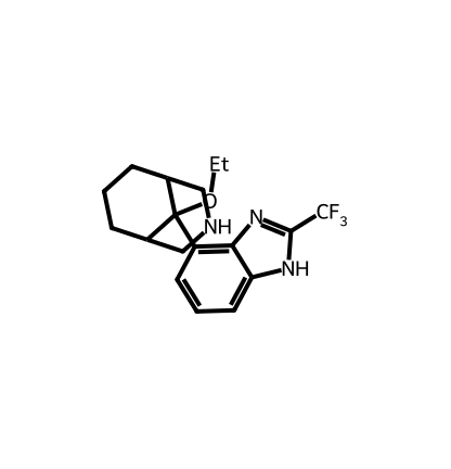 CCOC1(c2cccc3[nH]c(C(F)(F)F)nc23)C2CCCC1CNC2